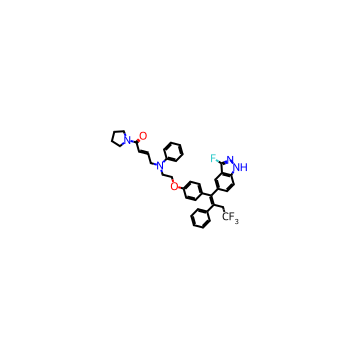 O=C(/C=C/CN(CCOc1ccc(/C(=C(/CC(F)(F)F)c2ccccc2)c2ccc3[nH]nc(F)c3c2)cc1)c1ccccc1)N1CCCC1